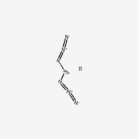 [N-]=[N+]=[N][Pb][N]=[N+]=[N-].[Ti]